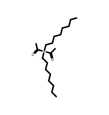 CCCCCCC[CH2][Sn]([CH2]CCCCCCC)([C](C)=O)[C](C)=O